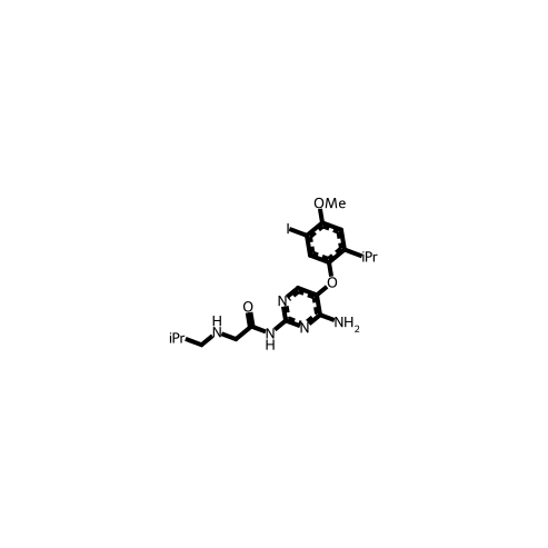 COc1cc(C(C)C)c(Oc2cnc(NC(=O)CNCC(C)C)nc2N)cc1I